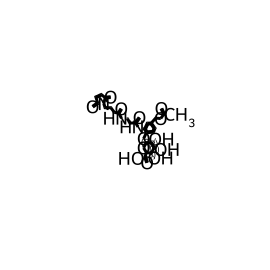 CC(=O)OCc1ccc(O[C@@H]2OC(C(=O)O)[C@@H](O)[C@H](O)[C@H]2O)c(NC(=O)CCNC(=O)CCCN2C(=O)C=CC2=O)c1